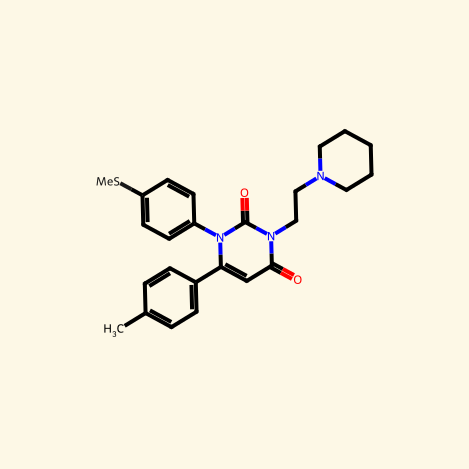 CSc1ccc(-n2c(-c3ccc(C)cc3)cc(=O)n(CCN3CCCCC3)c2=O)cc1